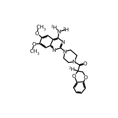 [2H]N([2H])c1nc(N2CCN(C(=O)C3([2H])COc4ccccc4O3)CC2)nc2cc(OC)c(OC)cc12